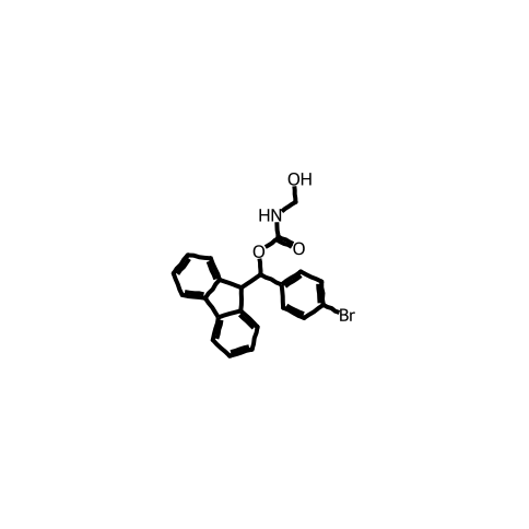 O=C(NCO)OC(c1ccc(Br)cc1)C1c2ccccc2-c2ccccc21